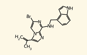 C=C(C)c1cnc2c(NCc3cccc4[nH]ccc34)nc(Br)cn12